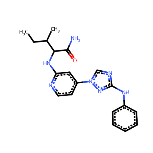 CCC(C)C(Nc1cc(-n2cnc(Nc3ccccc3)n2)ccn1)C(N)=O